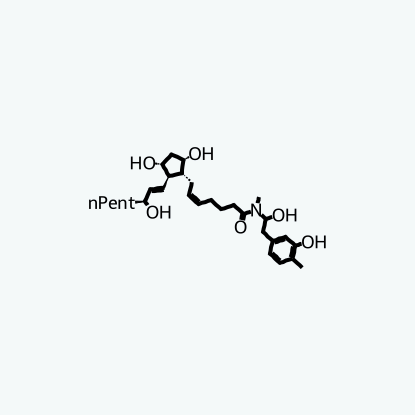 CCCCC[C@H](O)/C=C/[C@@H]1[C@@H](C/C=C\CCCC(=O)N(C)C(O)Cc2ccc(C)c(O)c2)[C@@H](O)C[C@H]1O